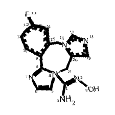 NC(=NO)[N+]12C=CN=C1c1ccc(F)cc1-n1cncc1C2